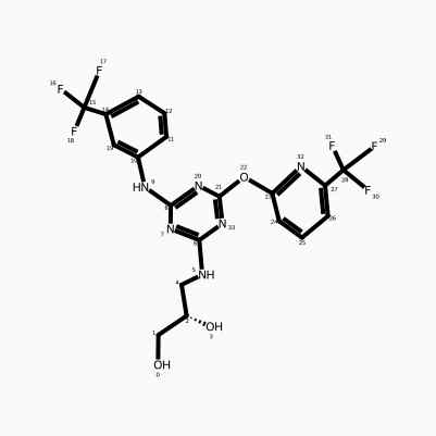 OC[C@@H](O)CNc1nc(Nc2cccc(C(F)(F)F)c2)nc(Oc2cccc(C(F)(F)F)n2)n1